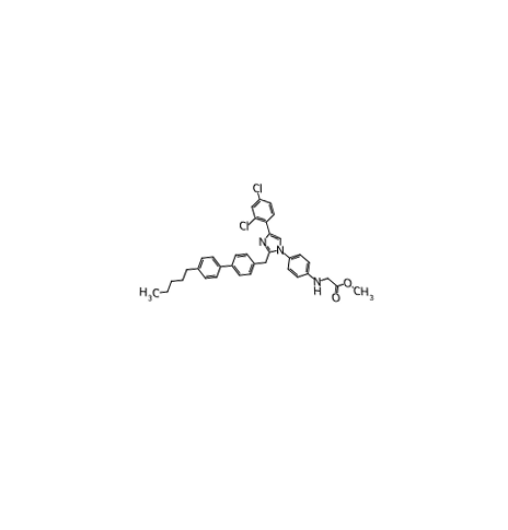 CCCCCc1ccc(-c2ccc(Cc3nc(-c4ccc(Cl)cc4Cl)cn3-c3ccc(NCC(=O)OC)cc3)cc2)cc1